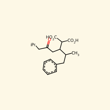 CC(C)CC(=O)CC(C(C)Cc1ccccc1)C(C(=O)O)C(=O)O